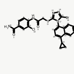 NC(=O)c1ccc(NC(=O)CSc2nnc(Br)n2-c2ccc(C3CC3)c3ccccc23)c(Cl)c1